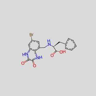 O=C(O)[C@H](Cc1ccccc1)NCc1cc(Br)cc2[nH]c(=O)c(=O)[nH]c12